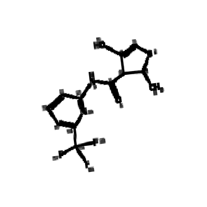 CC1SC=C(O)C1C(=O)Nc1cccc(C(F)(F)F)n1